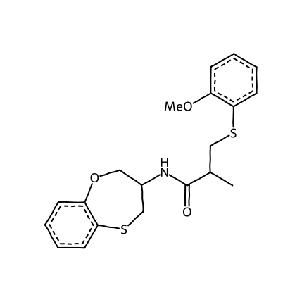 COc1ccccc1SCC(C)C(=O)NC1COc2ccccc2SC1